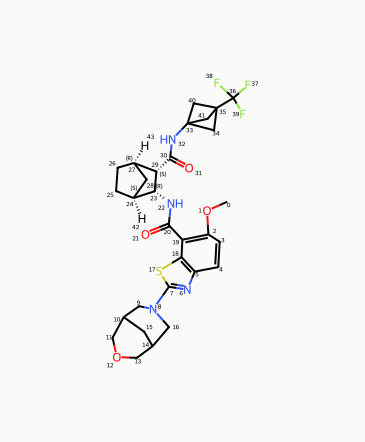 COc1ccc2nc(N3CC4COCC(C4)C3)sc2c1C(=O)N[C@@H]1[C@H]2CC[C@H](C2)[C@@H]1C(=O)NC12CC(C(F)(F)F)(C1)C2